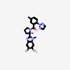 Cc1ccc(-n2nccn2)c(C(=O)N2CCC[C@@]2(C)c2nc3cc(Cl)c(C(F)(F)F)cc3n2C)c1